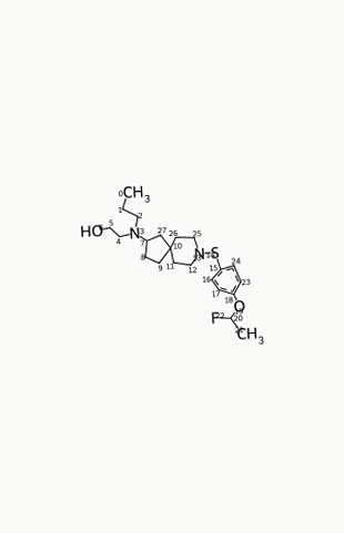 CCCN(CCO)C1CCC2(CCN(Sc3ccc(OC(C)F)cc3)CC2)C1